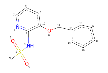 CS(=O)(=O)Nc1ncccc1OCc1ccccc1